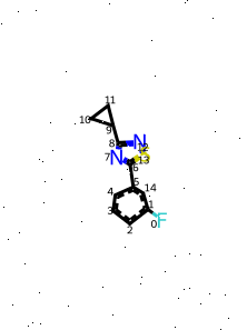 Fc1cccc(-c2nc(C3CC3)ns2)c1